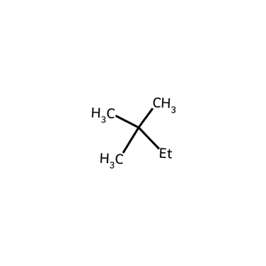 [CH]CC(C)(C)C